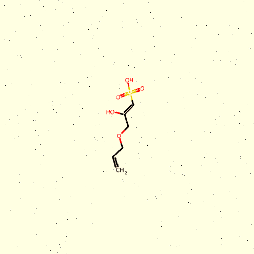 C=CCOCC(O)=CS(=O)(=O)O